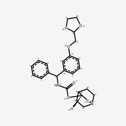 O=C(NC(c1ccccc1)c1cccc(OCC2OCCO2)c1)O[C@H]1CN2CCC1CC2